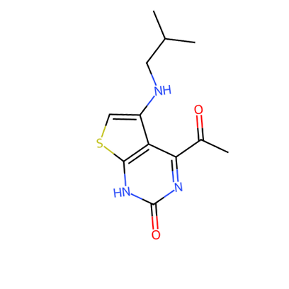 CC(=O)c1nc(=O)[nH]c2scc(NCC(C)C)c12